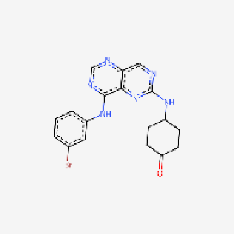 O=C1CCC(Nc2ncc3ncnc(Nc4cccc(Br)c4)c3n2)CC1